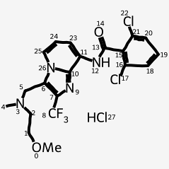 COCCN(C)Cc1c(C(F)(F)F)nc2c(NC(=O)c3c(Cl)cccc3Cl)cccn12.Cl